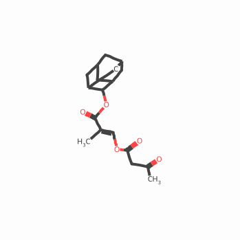 CC(=O)CC(=O)OC=C(C)C(=O)OC1C2CC3CC(C2)CC1C3